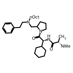 CCCCCCCCN(CCc1ccccc1)CC1CCCN1C(=O)[C@@H](NC(=O)[C@H](C)NC)C1CCCCC1